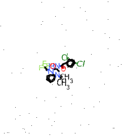 CC(C)N1CC(NC(=O)Cc2ccc(Cl)cc2Cl)C(=O)N(CC(F)(F)F)c2ccccc21